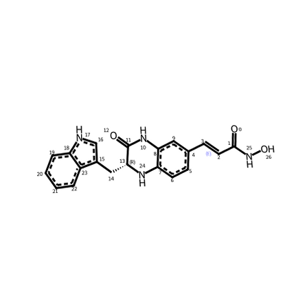 O=C(/C=C/c1ccc2c(c1)NC(=O)[C@@H](Cc1c[nH]c3ccccc13)N2)NO